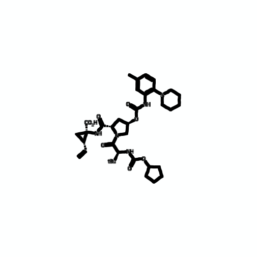 C=C[C@@H]1C[C@]1(NC(=O)[C@@H]1C[C@@H](OC(=O)Nc2cc(C)ccc2N2CCCCC2)CN1C(=O)[C@@H](NC(=O)OC1CCCC1)C(C)(C)C)C(=O)O